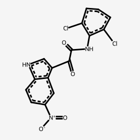 O=C(Nc1c(Cl)cccc1Cl)C(=O)c1c[nH]c2ccc([N+](=O)[O-])cc12